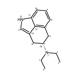 CCN(CC)[C@H]1Cc2cccc3[nH]cc(c23)C1